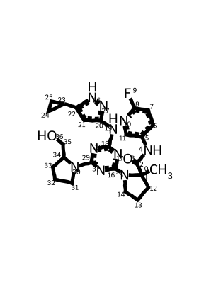 CC1(C(=O)Nc2ccc(F)nc2)CCCN1c1nc(Nc2cc(C3CC3)[nH]n2)nc(N2CCCC2CO)n1